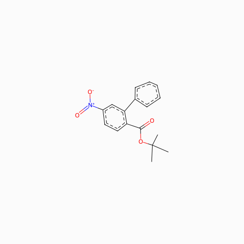 CC(C)(C)OC(=O)c1ccc([N+](=O)[O-])cc1-c1ccccc1